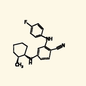 C[C@H]1CCCC[C@H]1Nc1ccc(C#N)c(Nc2ccc(F)cc2)c1